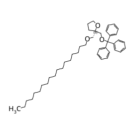 CCCCCCCCCCCCCCCCCCOC[C@]1(COC(c2ccccc2)(c2ccccc2)c2ccccc2)CCCO1